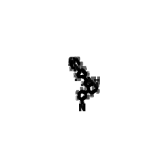 N#Cc1cccc(-c2ccnc3[nH]c(-c4ccc(N5CCOCC5)cc4)cc23)c1